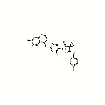 Cc1cc2c(Oc3cc(F)c(NC(=O)C4(C(=O)Nc5ccc(F)cc5)CC4)cc3F)ccnc2cc1I